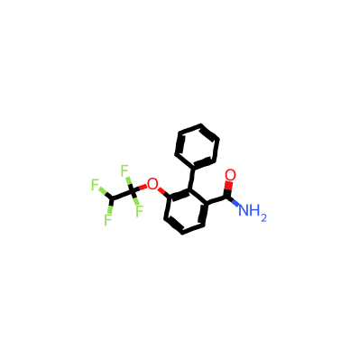 NC(=O)c1cccc(OC(F)(F)C(F)F)c1-c1ccccc1